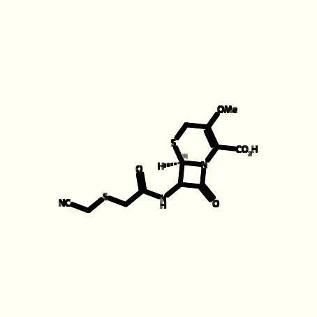 COC1=C(C(=O)O)N2C(=O)C(NC(=O)CSCC#N)[C@H]2SC1